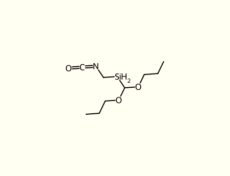 CCCOC(OCCC)[SiH2]CN=C=O